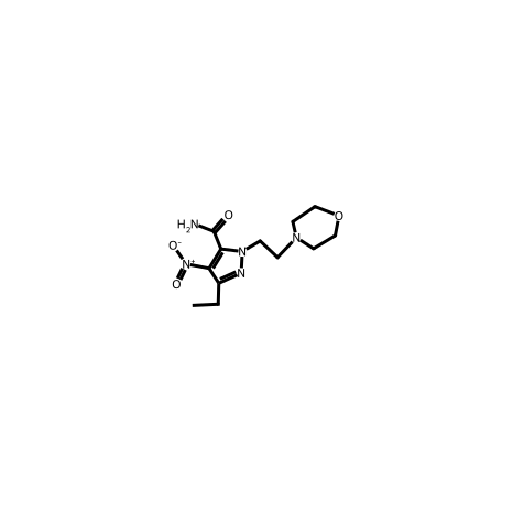 CCc1nn(CCN2CCOCC2)c(C(N)=O)c1[N+](=O)[O-]